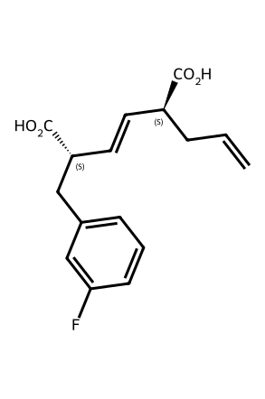 C=CC[C@@H](C=C[C@H](Cc1cccc(F)c1)C(=O)O)C(=O)O